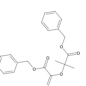 C=C(OC(C)(C)C(=O)OCc1ccccc1)C(=O)OCc1ccccc1